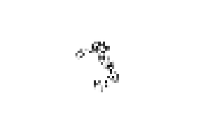 Cc1cc(-n2cc3c(n2)CCN(CC(=O)N(C)CCN2CCCC2)C3)ccn1